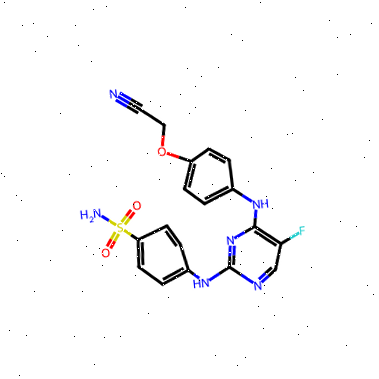 N#CCOc1ccc(Nc2nc(Nc3ccc(S(N)(=O)=O)cc3)ncc2F)cc1